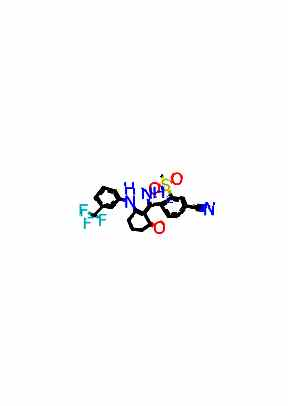 CS(=O)(=O)c1cc(C#N)ccc1C(N)C1=C(Nc2cccc(C(F)(F)F)c2)CCCC1=O